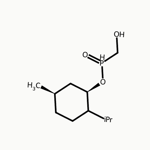 CC(C)C1CC[C@@H](C)C[C@H]1O[PH](=O)CO